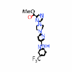 COC(=O)c1cncc(N2CCN(c3ccc(-c4nc5cc(C(F)(F)F)ccc5[nH]4)cn3)CC2)n1